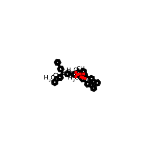 CC(C)(C)CC(c1ccc(C2=CCC3C(=C2)C2(C4=C(C=CC(C5=CC6c7ccccc7N(C7=CCC(C8C=CC(N(C9=CC=C%10C%11C=CC=CC%11C(C)(C)C%10C9)C9C=CC(c%10ccccc%10)CC9)CC8)CC7)C6CC5)C4)c4ccccc42)C2=C3C=CCC2)cc1)C(C)(C)C